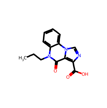 CCCn1c(=O)c2c(C(=O)O)ncn2c2ccccc21